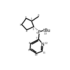 CC1CCC[C@H]1P(c1ccccn1)C(C)(C)C